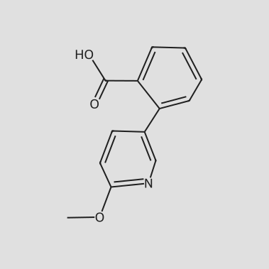 COc1ccc(-c2ccccc2C(=O)O)cn1